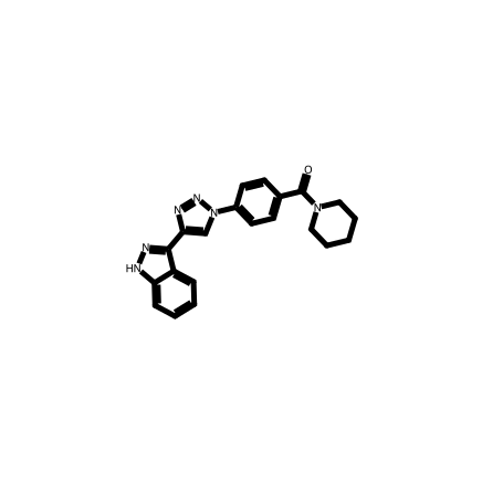 O=C(c1ccc(-n2cc(-c3n[nH]c4ccccc34)nn2)cc1)N1CCCCC1